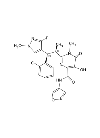 C[C@@H](c1nc(C(=O)Nc2cnoc2)c(O)c(=O)n1C)[C@@H](c1ccccc1Cl)c1cn(C)nc1F